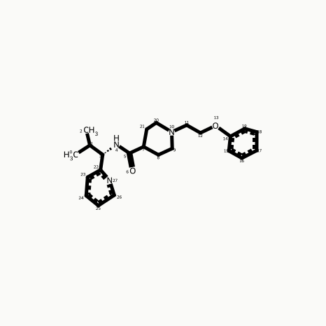 CC(C)[C@H](NC(=O)C1CCN(CCOc2ccccc2)CC1)c1ccccn1